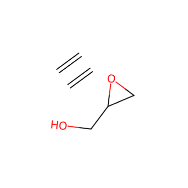 C=C.C=C.OCC1CO1